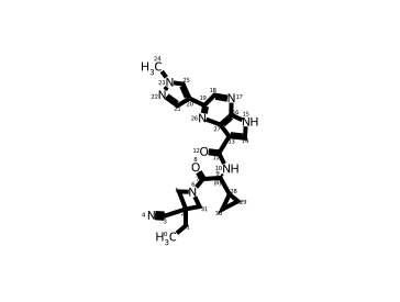 CCC1(C#N)CN(C(=O)[C@H](NC(=O)c2c[nH]c3ncc(-c4cnn(C)c4)nc23)C2CC2)C1